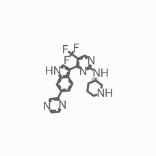 FC(F)(F)c1cnc(N[C@H]2CCCNC2)nc1-c1c[nH]c2cc(-c3cnccn3)ccc12